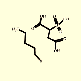 CCCC[CH2][K].O=C(O)CC(C(=O)O)S(=O)(=O)O